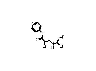 CCC(NCC(CC)C(=O)Oc1ccncc1)SF